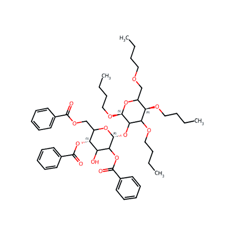 CCCCOCC1O[C@H](OCCCC)C(O[C@H]2OC(COC(=O)c3ccccc3)[C@@H](OC(=O)c3ccccc3)C(O)C2OC(=O)c2ccccc2)C(OCCCC)[C@@H]1OCCCC